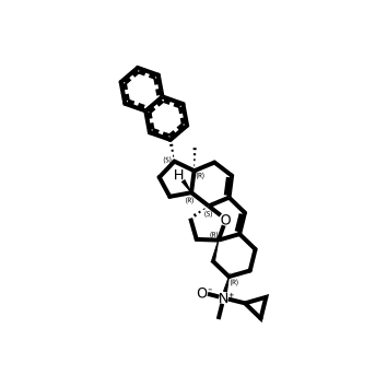 C[C@]12CC=C3C=C4CC[C@@H]([N+](C)([O-])C5CC5)C[C@]45CC[C@]3(O5)[C@@H]1CC[C@@H]2c1ccc2ccccc2c1